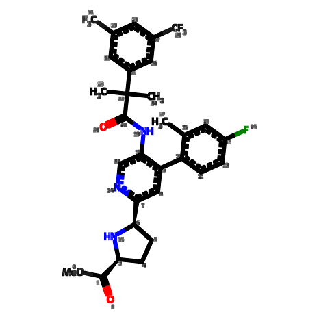 COC(=O)[C@@H]1CC[C@H](c2cc(-c3ccc(F)cc3C)c(NC(=O)C(C)(C)c3cc(C(F)(F)F)cc(C(F)(F)F)c3)cn2)N1